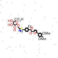 CCOC(C(=O)c1ccc(-c2cc(OC)c(C)c(OC)c2)o1)c1ccc(-c2nnc(CO[C@H]3O[C@H](C(=O)O)[C@@H](O)[C@H](O)[C@H]3O)s2)cc1